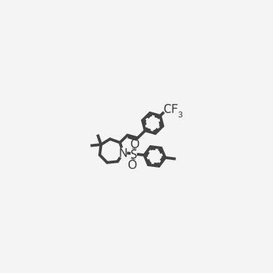 Cc1ccc(S(=O)(=O)N2CCCC(C)(C)CC2C=Cc2ccc(C(F)(F)F)cc2)cc1